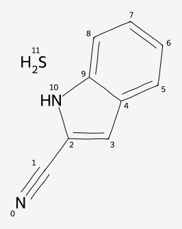 N#Cc1cc2ccccc2[nH]1.S